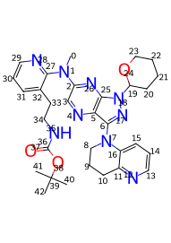 CN(c1cnc2c(N3CCCc4ncccc43)nn(C3CCCCO3)c2n1)c1ncccc1CCNC(=O)OC(C)(C)C